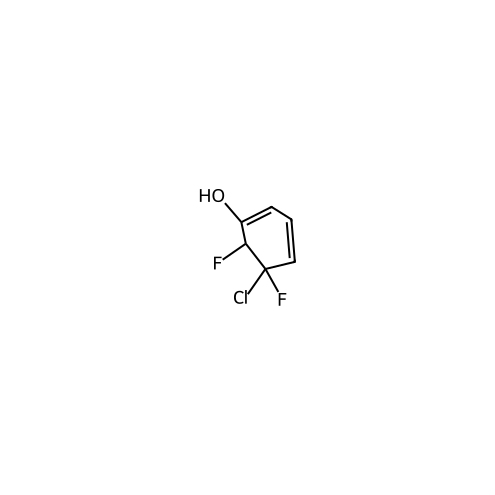 OC1=CC=CC(F)(Cl)C1F